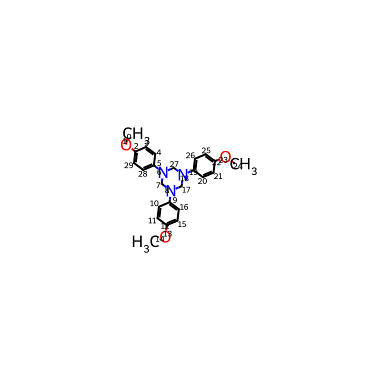 COc1ccc(N2CN(c3ccc(OC)cc3)CN(c3ccc(OC)cc3)C2)cc1